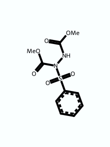 COC(=O)NN(C(=O)OC)S(=O)(=O)c1ccccc1